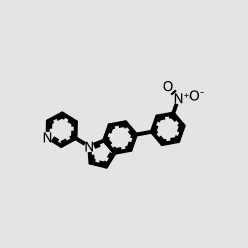 O=[N+]([O-])c1cccc(-c2ccc3c(ccn3-c3cccnc3)c2)c1